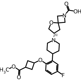 COC(=O)C1CC(Oc2ccc(F)cc2C2CCN([C@@H]3COC4(C3)CN(C(=O)O)C4)CC2)C1